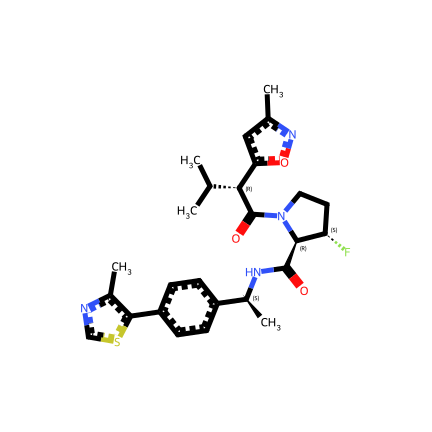 Cc1cc([C@H](C(=O)N2CC[C@H](F)[C@H]2C(=O)N[C@@H](C)c2ccc(-c3scnc3C)cc2)C(C)C)on1